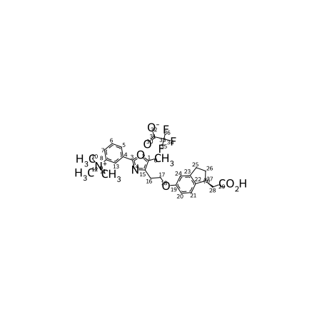 Cc1oc(-c2cccc([N+](C)(C)C)c2)nc1CCOc1ccc2c(c1)CC[C@H]2CC(=O)O.O=C([O-])C(F)(F)F